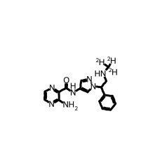 [2H]C([2H])([2H])NCC(c1ccccc1)n1cc(NC(=O)c2nccnc2N)cn1